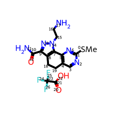 CSc1ncc2c(n1)-c1c(c(C(N)=O)nn1CCN)CC2.O=C(O)C(F)(F)F